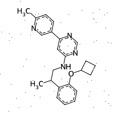 Cc1ccc(-c2cc(NCC(C)c3ccccc3OC3CCC3)ncn2)cn1